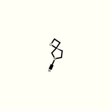 N#CN1CC[C@@]2(CCO2)C1